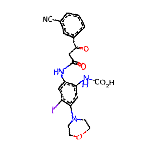 N#Cc1cccc(C(=O)CC(=O)Nc2cc(I)c(N3CCOCC3)cc2NC(=O)O)c1